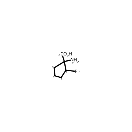 NC1(C(=O)O)CCCC1F